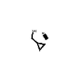 C#N.OCC1CC1